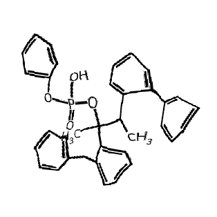 CC(c1ccccc1-c1ccccc1)C(C)(OP(=O)(O)Oc1ccccc1)c1ccccc1-c1ccccc1